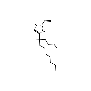 C=Cc1ncc(C(C)(CCCC)CCCCCCC)o1